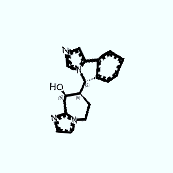 O[C@@H]1c2nccn2CC[C@@H]1[C@H]1c2ccccc2-c2cncn21